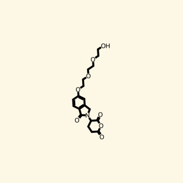 O=C1CCC(N2Cc3cc(OCCOCCOCCO)ccc3C2=O)C(=O)O1